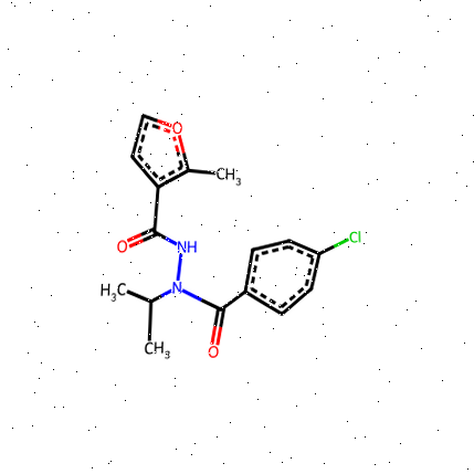 Cc1occc1C(=O)NN(C(=O)c1ccc(Cl)cc1)C(C)C